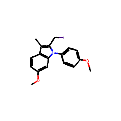 COc1ccc(-n2c(CI)c(C)c3ccc(OC)cc32)cc1